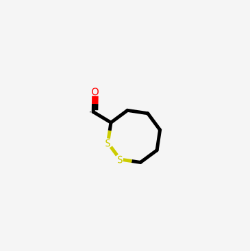 O=[C]C1CCCCCSS1